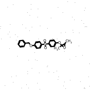 CC1OC1(C)Oc1ccc(S(=O)(=O)c2ccc(OCc3ccccc3)cc2)cc1